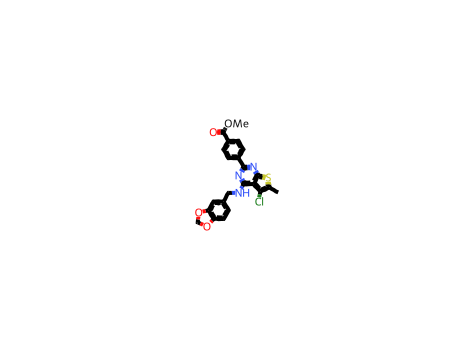 COC(=O)c1ccc(-c2nc(NCc3ccc4c(c3)OCO4)c3c(Cl)c(C)sc3n2)cc1